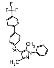 Cc1nn(-c2ccccc2)c(C)c1[Se]c1ccc(-c2ccc(C(F)(F)F)cc2)cc1